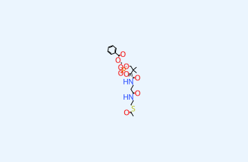 CC(=O)SCCNC(=O)CCNC(=O)[C@@H]1OP(=O)(OCOC(=O)c2ccccc2)OCC1(C)C